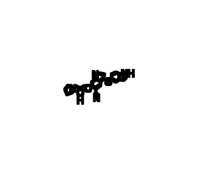 N#Cc1cc2c(OC3=CC4C=CNC4C=C3)ccnc2cc1OC[C@H](O)CN1CCCC1